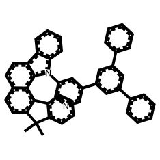 CC1(C)c2ccccc2-c2c1ccc1ccc3c4ccccc4n(-c4cncc(-c5cc(-c6ccccc6)cc(-c6ccccc6)c5)c4)c3c21